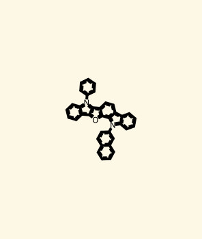 c1ccc(-n2c3ccccc3c3oc4c(ccc5c6ccccc6n(-c6ccc7ccccc7c6)c54)c32)cc1